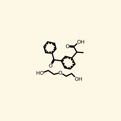 CC(C(=O)O)c1cccc(C(=O)c2ccccc2)c1.OCCOCCO